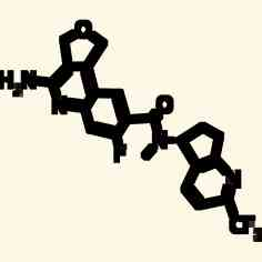 CN(C(=O)c1cc2c3c(c(N)nc2cc1F)COC3)[C@@H]1CCc2nc(C(F)(F)F)ccc21